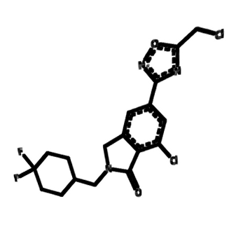 O=C1c2c(Cl)cc(-c3noc(CCl)n3)cc2CN1CC1CCC(F)(F)CC1